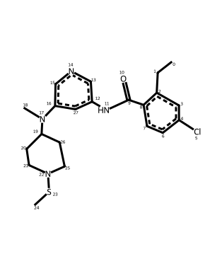 CCc1cc(Cl)ccc1C(=O)Nc1cncc(N(C)C2CCN(SC)CC2)c1